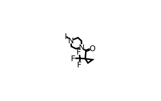 O=C(N1CCN(I)CC1)C1(C(F)(F)F)CC1